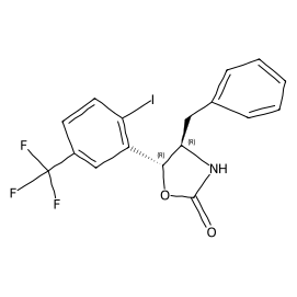 O=C1N[C@H](Cc2ccccc2)[C@@H](c2cc(C(F)(F)F)ccc2I)O1